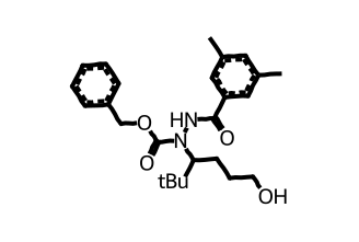 Cc1cc(C)cc(C(=O)NN(C(=O)OCc2ccccc2)C(CCCO)C(C)(C)C)c1